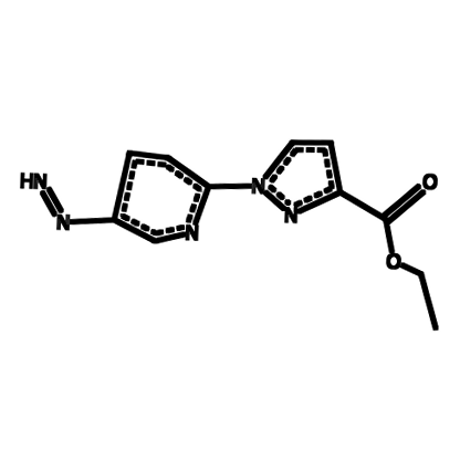 CCOC(=O)c1ccn(-c2ccc(N=N)cn2)n1